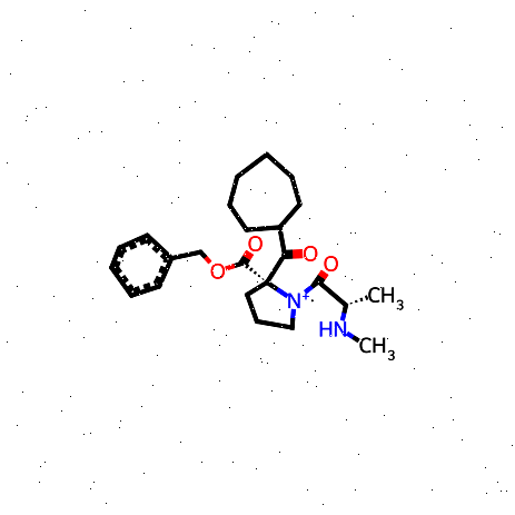 CN[C@@H](C)C(=O)[N+]1CCC[C@@]1(C(=O)OCc1ccccc1)C(=O)C1CCCCCC1